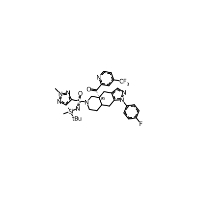 Cn1ncc(S(=O)(=N[Si](C)(C)C(C)(C)C)N2CCC3Cc4c(cnn4-c4ccc(F)cc4)C[C@]3(C(=O)c3cc(C(F)(F)F)ccn3)C2)n1